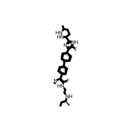 C=N/C(=C(/F)NCCN[C@@H](C)CC)c1ccc(-c2ccc(-c3nc(C4CCC(C)NN4)[nH]c3F)cc2)cc1